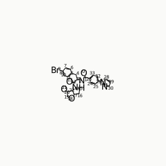 O=C(NC(Cc1ccc(Br)cc1)C(=O)N1CCC2OCC(=O)C21)c1ccc(-n2cccn2)cc1